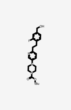 CC(C)(C)OC(=O)N1CCN(c2ccc(CCc3ccc(CO)cc3F)nc2)CC1